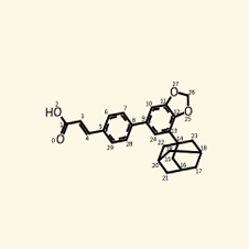 O=C(O)C=Cc1ccc(-c2cc3c(c(C45CC6CC(CC(C6)C4)C5)c2)OCO3)cc1